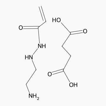 C=CC(=O)NNCCN.O=C(O)CCC(=O)O